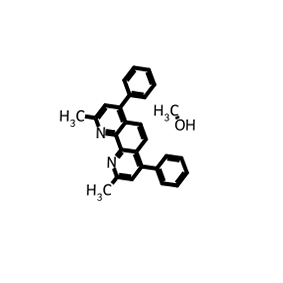 CO.Cc1cc(-c2ccccc2)c2ccc3c(-c4ccccc4)cc(C)nc3c2n1